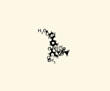 CCOc1cncc(-c2ccc(NC(=O)C(CCOC)c3ccnc(NS(=O)(=O)C4CC4)n3)c(F)c2)n1